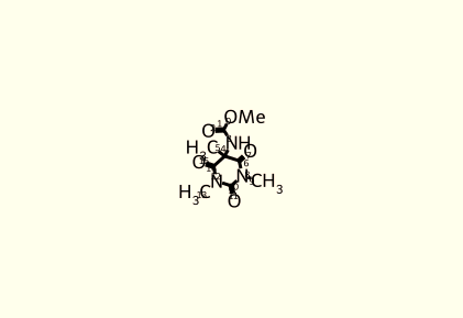 COC(=O)NC1(C)C(=O)N(C)C(=O)N(C)C1=O